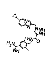 Cc1cc(C(=N)N)cc(C)c1CNC(=O)C1=CN(Cc2cn3cc(C4CC4)ccc3n2)NN1